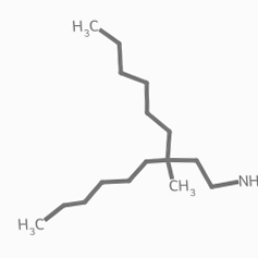 CCCCCCC(C)(CCN)CCCCCC